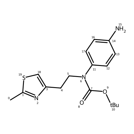 Cc1nc(CCN(C(=O)OC(C)(C)C)c2ccc(N)cc2)cs1